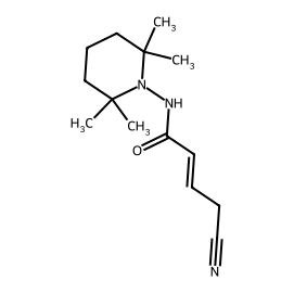 CC1(C)CCCC(C)(C)N1NC(=O)/C=C/CC#N